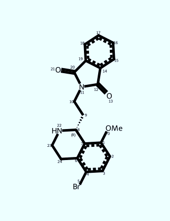 COc1ccc(Br)c2c1[C@@H](CCN1C(=O)c3ccccc3C1=O)NCC2